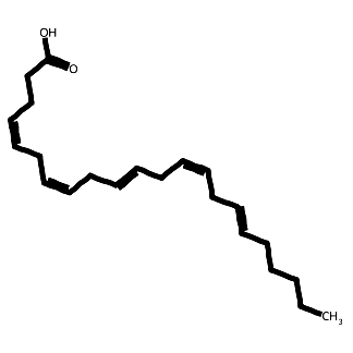 CCCCC/C=C/C/C=C\C/C=C/C/C=C\C/C=C\CCC(=O)O